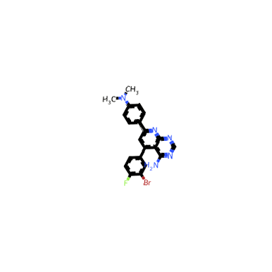 CN(C)c1ccc(-c2cc(-c3ccc(F)c(Br)c3)c3c(N)ncnc3n2)cc1